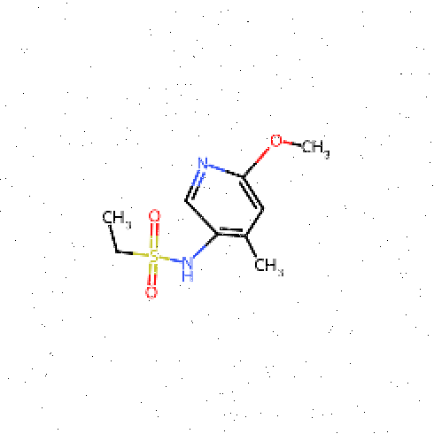 CCS(=O)(=O)Nc1cnc(OC)cc1C